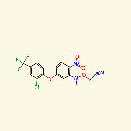 CN(OCC#N)c1cc(Oc2ccc(C(F)(F)F)cc2Cl)ccc1[N+](=O)[O-]